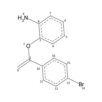 C=C(Oc1ccccc1N)c1ccc(Br)cc1